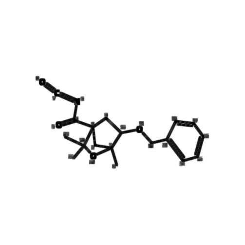 CC12CC(C(=O)N=C=O)(CC1OCc1ccccc1)C(C)(C)O2